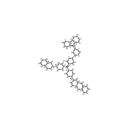 Cc1cc(-c2cccc(-n3c4ccccc4c4ccccc43)c2)ccc1N(c1ccc(-c2ccc3ccccc3c2)cc1)c1ccc(-c2ccc3cc4ccccc4cc3c2)cc1